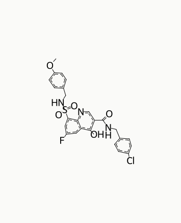 COc1ccc(CNS(=O)(=O)c2cc(F)cc3c(O)c(C(=O)NCc4ccc(Cl)cc4)cnc23)cc1